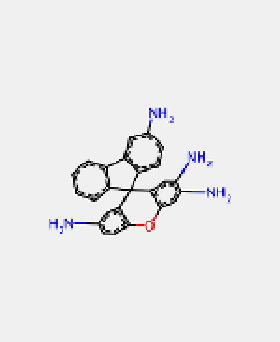 Nc1ccc2c(c1)-c1ccccc1C21c2cc(N)ccc2Oc2cc(N)c(N)cc21